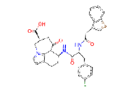 O=C(Cc1csc2ccccc12)NC(Cc1ccc(F)cc1)C(=O)N[C@H]1CCc2ccn3c2C1C(=O)C[C@H](C(=O)O)C3